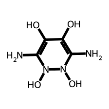 NC1=C(O)C(O)=C(N)N(O)N1O